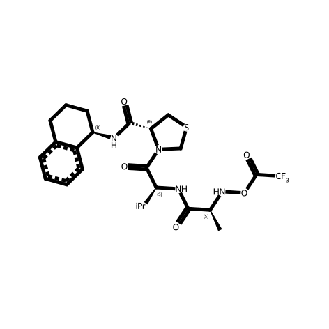 CC(C)[C@H](NC(=O)[C@H](C)NOC(=O)C(F)(F)F)C(=O)N1CSC[C@H]1C(=O)N[C@@H]1CCCc2ccccc21